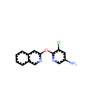 Nc1cnc(Oc2cc3ccccc3cn2)c(Cl)c1